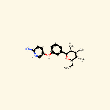 CC(=O)OC[C@H]1OC(c2cccc(Oc3ccc(N)nc3)c2)[C@@H](OC(C)=O)[C@@H](OC(C)=O)[C@@H]1OC(C)=O